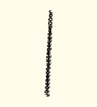 S=S=S=S=S=S=S=S=S=S=S=S=S=S=S=S=S=S=S=S=S=S=S=S=S=S=S=S=S=S=S=S=S=S=S=S=S=S=S=S=S=S=S=S